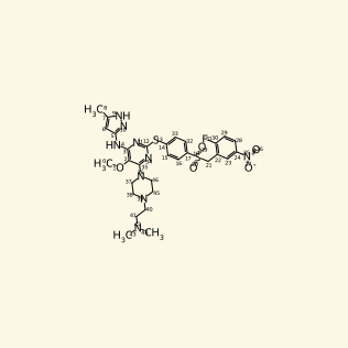 COc1c(Nc2cc(C)[nH]n2)nc(Sc2ccc(S(=O)(=O)Cc3cc([N+](=O)[O-])ccc3F)cc2)nc1N1CCN(CCN(C)C)CC1